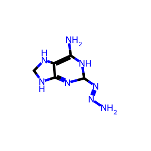 NN=NC1N=C2NCNC2=C(N)N1